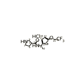 C[C@@H](NC(=O)C1CCNC1)c1ccc(OCC(F)(F)F)s1.Cl